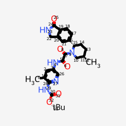 Cc1cc(NC(=O)C(=O)N2C[C@H](C)CC[C@H]2c2ccc3c(c2)CNC3=O)cnc1NC(=O)OC(C)(C)C